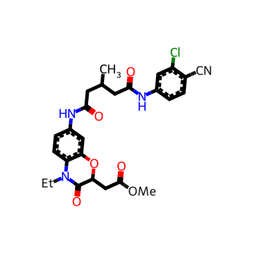 CCN1C(=O)C(CC(=O)OC)Oc2cc(NC(=O)CC(C)CC(=O)Nc3ccc(C#N)c(Cl)c3)ccc21